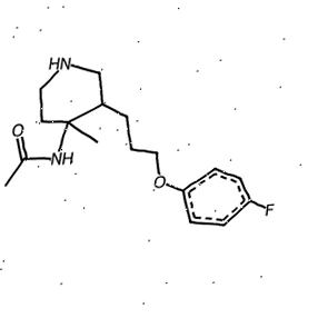 CC(=O)NC1(C)CCNCC1CCCOc1ccc(F)cc1